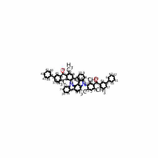 Cc1cc(C)c(-n2c3ccccc3c3c2ccc2c4ccccc4n(-c4c(C)cc(C)c(C(=O)c5cccc(-c6ccccc6)c5)c4C)c23)c(C)c1C(=O)c1cccc(-c2ccccc2)c1